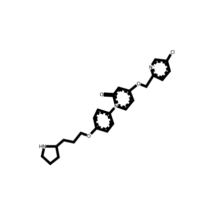 O=c1cc(OCc2ccc(Cl)cn2)ccn1-c1ccc(OCCCC2CCCN2)cc1